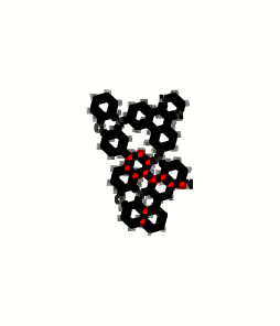 N#CC1CC(c2ccccc2)C(N2c3ccccc3Oc3ccccc32)C(c2ccc(-c3ccc4c(c3)N(c3ccc5c(c3)c3cc(N6c7ccccc7Oc7ccccc76)ccc3c3nccnc53)c3ccccc3O4)cc2)C1